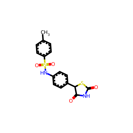 Cc1ccc(S(=O)(=O)Nc2ccc(C3SC(=O)NC3=O)cc2)cc1